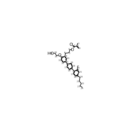 C=C(C)C(=O)OCCCc1cc(-c2ccc(-c3ccc(CCCCC)cc3F)cc2)ccc1OCCO